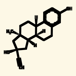 C#C[C@@]1(O)C[C@H]2[C@@H]3CCc4cc(O)ccc4[C@H]3CC[C@]2(C)C1